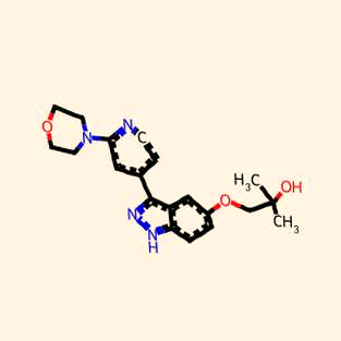 CC(C)(O)COc1ccc2[nH]nc(-c3ccnc(N4CCOCC4)c3)c2c1